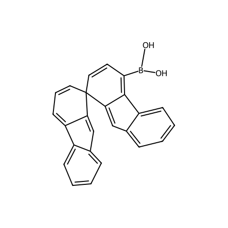 OB(O)C1=C2C(=Cc3ccccc32)C2(C=CC=C3C2=Cc2ccccc23)C=C1